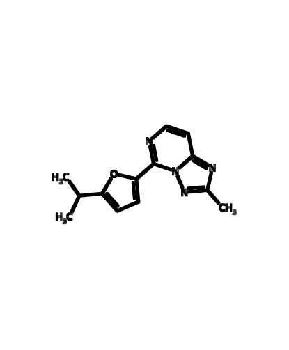 Cc1nc2ccnc(-c3ccc(C(C)C)o3)n2n1